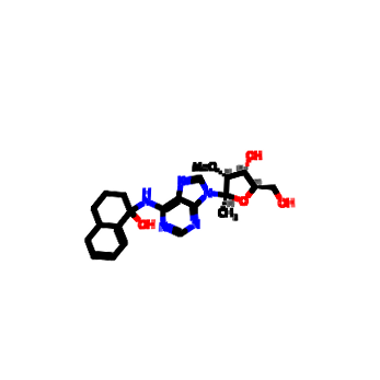 CO[C@@H]1[C@H](O)[C@@H](CO)O[C@@]1(C)n1cnc2c(NC3(O)CCCC4CC=CC=C43)ncnc21